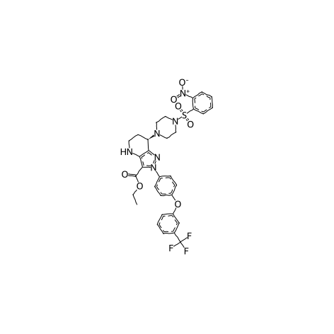 CCOC(=O)c1c2c(nn1-c1ccc(Oc3cccc(C(F)(F)F)c3)cc1)[C@H](N1CCN(S(=O)(=O)c3ccccc3[N+](=O)[O-])CC1)CCN2